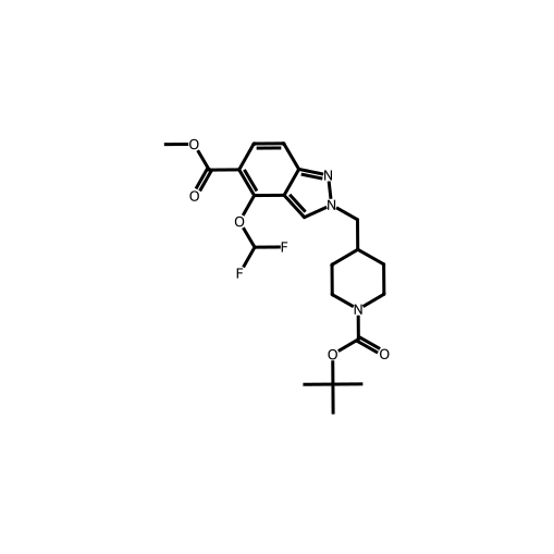 COC(=O)c1ccc2nn(CC3CCN(C(=O)OC(C)(C)C)CC3)cc2c1OC(F)F